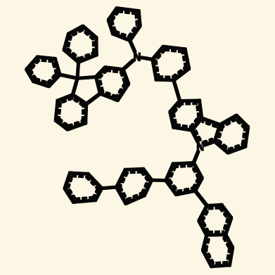 c1ccc(-c2ccc(-c3cc(-c4ccc5ccccc5c4)cc(-n4c5ccccc5c5cc(-c6cccc(N(c7ccccc7)c7ccc8c(c7)C(c7ccccc7)(c7ccccc7)c7ccccc7-8)c6)ccc54)c3)cc2)cc1